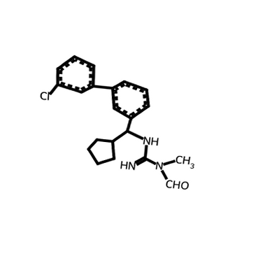 CN(C=O)C(=N)NC(c1cccc(-c2cccc(Cl)c2)c1)C1CCCC1